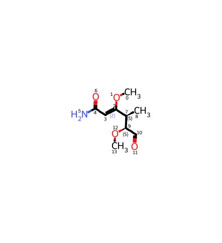 CO/C(=C\C(N)=O)[C@@H](C)[C@@H](C=O)OC